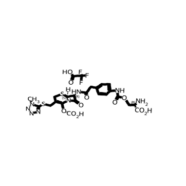 Cn1nnnc1SCC1=C(OC(=O)O)N2C(=O)[C@@H](NC(=O)Cc3ccc(NC(=O)OC[C@@H](N)C(=O)O)cc3)[C@@H]2SC1.O=C(O)C(F)(F)F